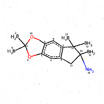 BC1(B)Oc2cc3c(cc2O1)C(B)(B)C(B)(N)C3